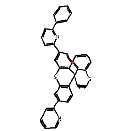 c1ccc(-c2cccc(-c3ccc4c(c3)Sc3cc(-c5ccccn5)ccc3C43c4ccccc4Sc4ccccc43)n2)cc1